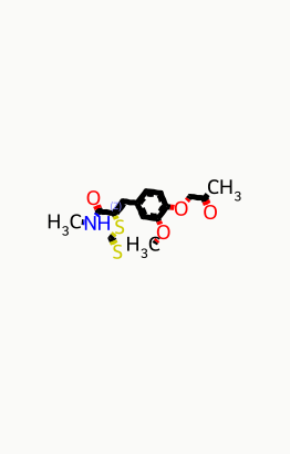 CNC(=O)/C(=C/c1ccc(OCC(C)=O)c(OC)c1)SC=S